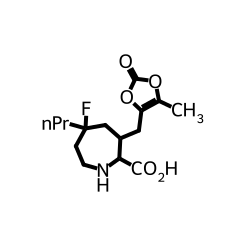 CCCC1(F)CCNC(C(=O)O)C(Cc2oc(=O)oc2C)C1